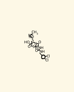 Cc1nnc(SCC2(C(=O)O)CS[C@@H]3C(NC(=O)NCc4ccc(Cl)c(Cl)c4)C(=O)N3C2)s1